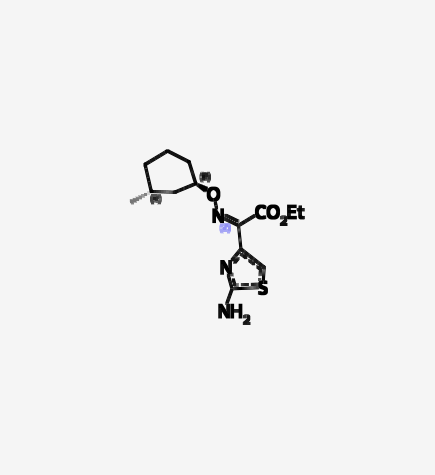 CCOC(=O)/C(=N\O[C@@H]1CCC[C@@H](C)C1)c1csc(N)n1